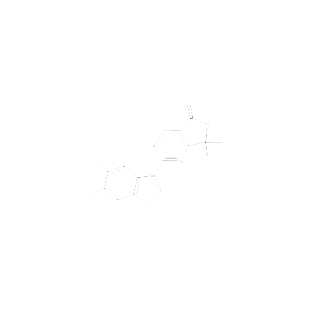 CC1(C)NC(=O)c2ccc(-c3n[nH]c4cc(F)c(F)cc34)nc21